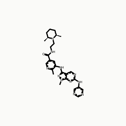 Cc1ncc(C(=O)NCCN2[C@H](C)CCC[C@@H]2C)cc1Nc1nn(C)c2nc(Nc3cncnc3)ncc12